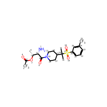 C[C@@H](OC(=O)C(F)(F)F)[C@H](N)C(=O)N1CCC(C(C)(C)S(=O)(=O)c2cccc(C(F)(F)F)c2)CC1